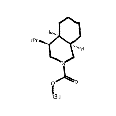 CC(C)[C@@H]1CN(C(=O)OC(C)(C)C)C[C@@H]2CCCC[C@@H]21